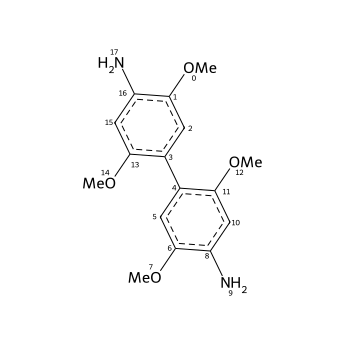 COc1cc(-c2cc(OC)c(N)cc2OC)c(OC)cc1N